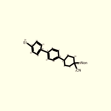 CCCCCCCCCC1(C#N)CCC(c2ccc(-c3ccc(CC)cc3)cc2)CC1